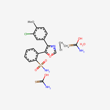 C.CCC.COc1ccc(-c2ncoc2-c2ccccc2S(N)(=O)=O)cc1Cl.NC(O)=S.NC(O)=S.O